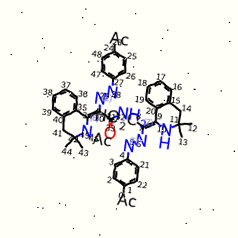 CC(=O)c1ccc(/N=N/C(C(=O)O)=C2\NC(C)(C)Cc3ccccc32)cc1.CC(=O)c1ccc(/N=N/C(C(N)=O)=C2\c3ccccc3CC(C)(C)N2C(C)=O)cc1